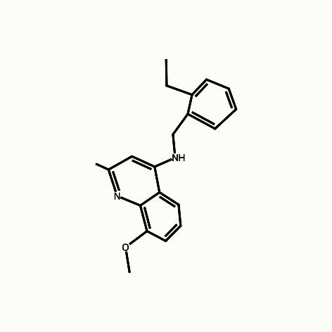 CCc1ccccc1CNc1cc(C)nc2c(OC)cccc12